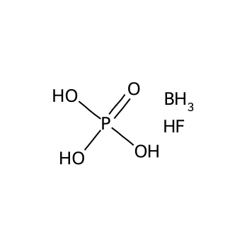 B.F.O=P(O)(O)O